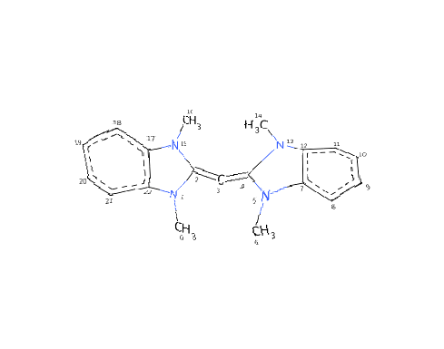 CN1C(=C=C2N(C)c3ccccc3N2C)N(C)c2ccccc21